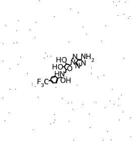 Nc1ncnc2c1ncn2C1OC(CNC(O)c2ccc(C(F)(F)F)cc2)C(O)C1O